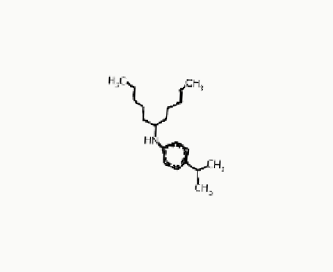 CCCCCC(CCCCC)Nc1ccc(C(C)C)cc1